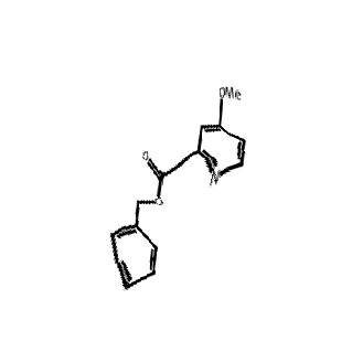 COc1ccnc(C(=O)OCc2ccccc2)c1